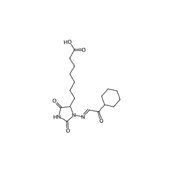 O=C(O)CCCCCCC1C(=O)NC(=O)N1N=CC(=O)C1CCCCC1